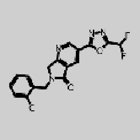 O=C1c2cc(-c3nnc(C(F)F)o3)cnc2CN1Cc1ccccc1Cl